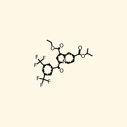 CCOC(=O)c1cc(C(=O)c2cc(C(F)(F)F)cc(C(F)(F)F)c2)n2ccc(C(=O)OC(C)C)cc12